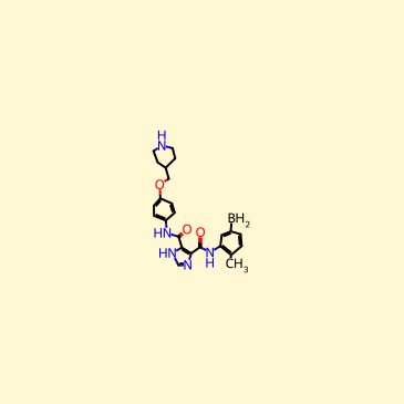 Bc1ccc(C)c(NC(=O)c2nc[nH]c2C(=O)Nc2ccc(OCC3CCNCC3)cc2)c1